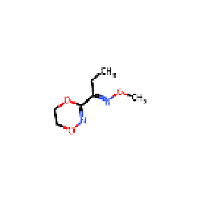 CC/C(=N\OC)C1=NOCCO1